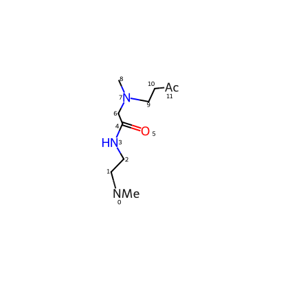 CNCCNC(=O)CN(C)CCC(C)=O